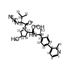 Cc1ncccc1-c1ccc([C@H](CO)NC(=O)C2CC(O)CN2C(=O)[C@@H](N=[N+]=[N-])C(C)C)cc1